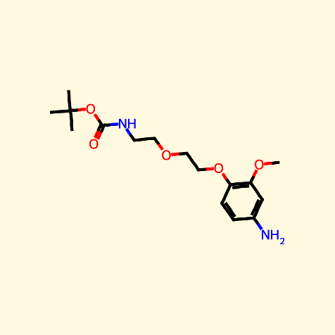 COc1cc(N)ccc1OCCOCCNC(=O)OC(C)(C)C